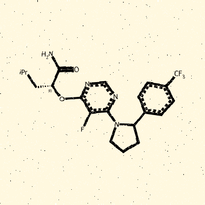 CC(C)C[C@@H](Oc1ncnc(N2CCCC2c2ccc(C(F)(F)F)cc2)c1F)C(N)=O